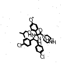 COc1ccc(C2(C(=O)N3CCNCC3)NC(c3ccc(Cl)cc3)C(c3ccc(Cl)cc3)N2)c(OCC(C)C)c1.Cl